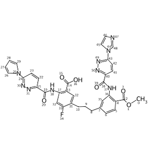 COC(=O)c1ccc(CCCc2cc(C(=O)O)c(NC(=O)c3ccc(-n4cccc4)nn3)cc2F)cc1NC(=O)c1ccc(-n2ccnc2)nn1